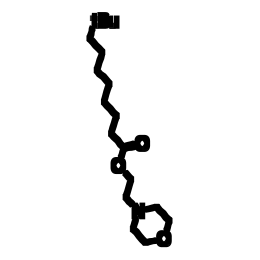 CC(C)(C)CCCCCCCC(=O)OCCN1CCOCC1